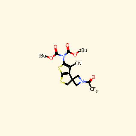 CC(C)(C)OC(=O)N(C(=O)OC(C)(C)C)c1sc2c(c1C#N)C1(CS2)CN(C(=O)C(F)(F)F)C1